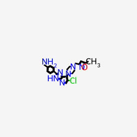 Cc1cc(CN2CCN(c3c(Cl)cnc4[nH]c(-c5ccc(CN)cc5)nc34)CC2)no1